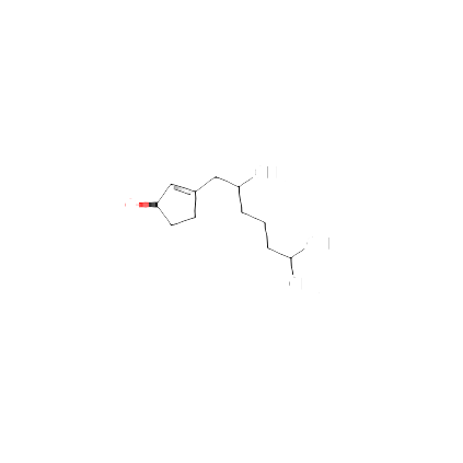 CC(C)CCCC(C)CC1=CC(=O)CC1